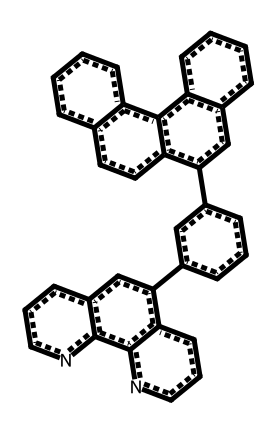 c1cc(-c2cc3cccnc3c3ncccc23)cc(-c2cc3ccccc3c3c2ccc2ccccc23)c1